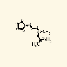 CC(N)CN(C)CCCN1CCCC1